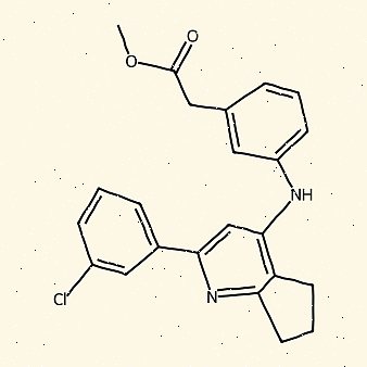 COC(=O)Cc1cccc(Nc2cc(-c3cccc(Cl)c3)nc3c2CCC3)c1